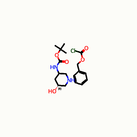 CC(C)(C)OC(=O)NC1CNC[C@H](O)C1.O=C(Cl)OCc1ccccc1